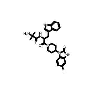 CC(C)(N)C(=O)NC(Cc1c[nH]c2ccccc12)C(=O)N1CCC(n2c(=O)[nH]c3cc(Cl)ccc32)CC1